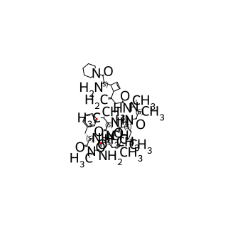 C=C(CC(=O)NN(C)[C@@H](C)C(=O)N[C@@H](CC(C)C)C(=O)N[C@H](C(=O)N(C)[C@@H](CC(C)C)C(=O)N[C@@H](Cc1ccccc1)C(=O)N(C)C(N)=O)C(C)C)C1C=CC1[C@H](N)C(=O)N1CCCCC1